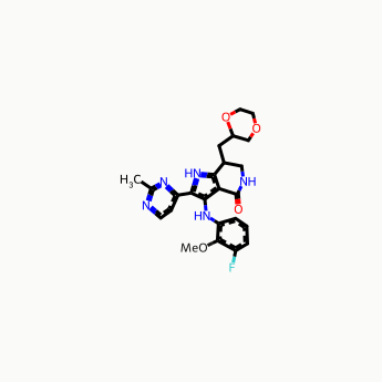 COc1c(F)cccc1Nc1c(-c2ccnc(C)n2)[nH]c2c1C(=O)NCC2CC1COCCO1